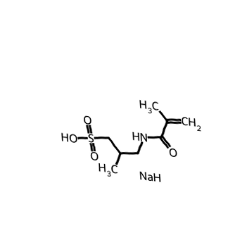 C=C(C)C(=O)NCC(C)CS(=O)(=O)O.[NaH]